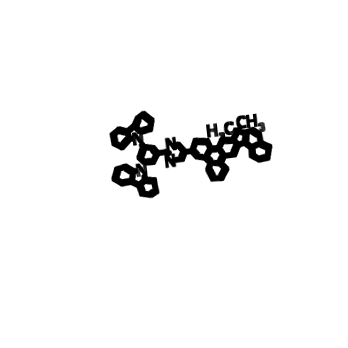 CC1(C)c2cc3c4ccc(-c5cnc(-c6cc(-n7c8ccccc8c8ccccc87)cc(-n7c8ccccc8c8ccccc87)c6)nc5)cc4c4ccccc4c3cc2-c2c1ccc1ccccc21